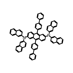 c1ccc(-c2ccc(-c3c4ccc(N(c5ccc6ccccc6c5)c5ccc6ccccc6c5)cc4c(-c4ccc(-c5ccccc5)cc4)c4ccc(N(c5ccc6ccccc6c5)c5ccc6ccccc6c5)cc34)cc2)cc1